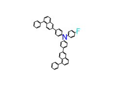 Fc1ccc(N(c2ccc(-c3ccc4c(-c5ccccc5)cccc4c3)cc2)c2ccc(-c3ccc4c(-c5ccccc5)cccc4c3)cc2)cc1